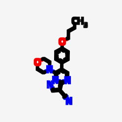 CCCCOc1ccc(-c2cnc3c(C#N)cnn3c2N2CCOCC2)cc1